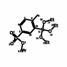 CCCOS(=O)(=O)c1ccc(C)c([Si](OCC)(OCC)OCC)c1